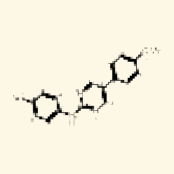 COc1ccc(-c2cnc(Nc3ccc(C(C)=O)cc3)nc2)cc1